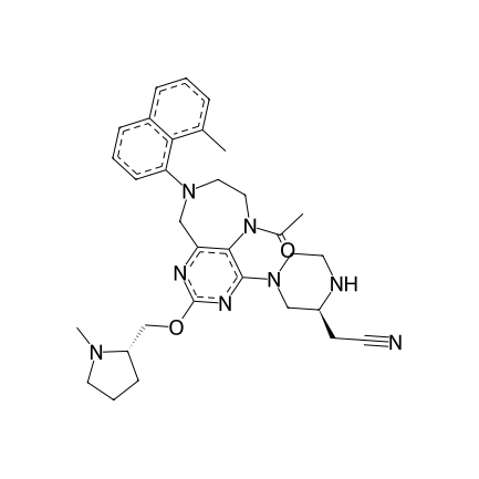 CC(=O)N1CCN(c2cccc3cccc(C)c23)Cc2nc(OC[C@@H]3CCCN3C)nc(N3CCN[C@@H](CC#N)C3)c21